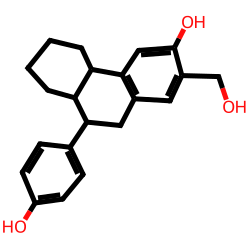 OCc1cc2c(cc1O)C1CCCCC1C(c1ccc(O)cc1)C2